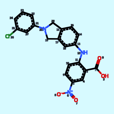 O=C(O)c1cc([N+](=O)[O-])ccc1Nc1ccc2c(c1)CN(c1cccc(Cl)c1)C2